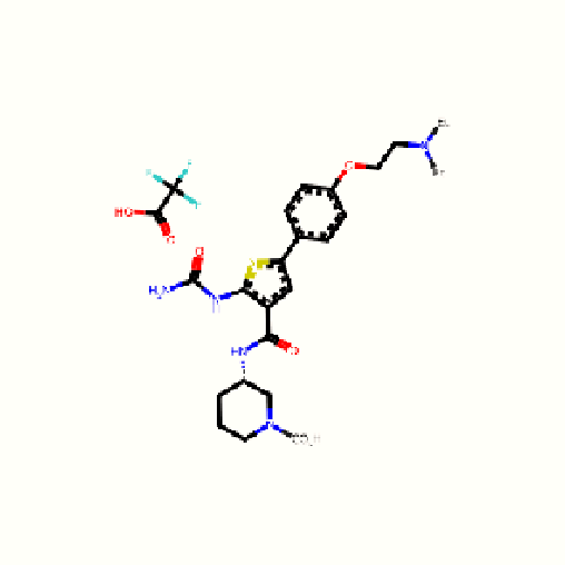 CCN(CC)CCOc1ccc(-c2cc(C(=O)N[C@H]3CCCN(C(=O)O)C3)c(NC(N)=O)s2)cc1.O=C(O)C(F)(F)F